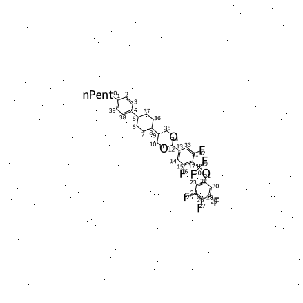 CCCCCc1ccc(C2CCC(C3COC(c4cc(F)c(C(F)(F)Oc5cc(F)c(F)c(F)c5)c(F)c4)OC3)CC2)cc1